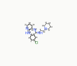 Clc1ccc2c(c1)C(NCCN1CCCCC1)=Nc1cccnc1N2